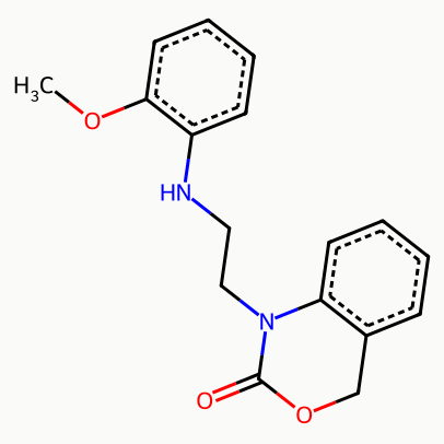 COc1ccccc1NCCN1C(=O)OCc2ccccc21